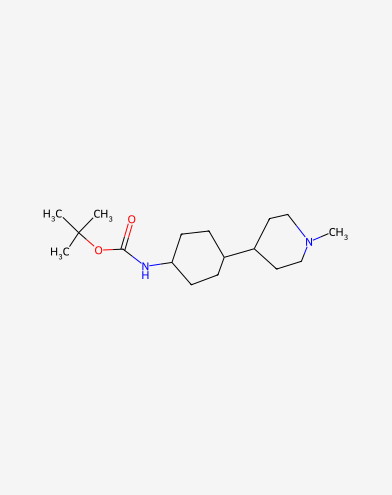 CN1CCC(C2CCC(NC(=O)OC(C)(C)C)CC2)CC1